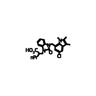 CCCC(Cn1c(=O)n(Cc2cc(Cl)cc3c(C)c(C)n(C)c23)c2ccccc21)C(=O)O